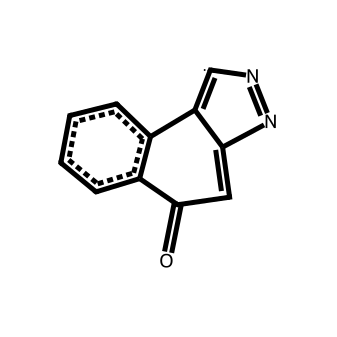 O=C1C=C2N=N[C]=C2c2ccccc21